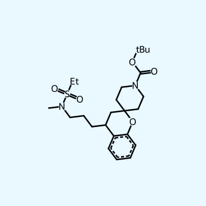 CCS(=O)(=O)N(C)CCCC1CC2(CCN(C(=O)OC(C)(C)C)CC2)Oc2ccccc21